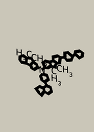 CC1(C)c2ccccc2-c2ccc(N(c3ccc(-c4cccc5ccccc45)cc3)c3ccc4c(c3)C(C)(C)c3cc(-c5ccc(-c6ccccc6)cc5)ccc3-4)cc21